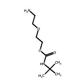 CC(C)(C)NC(=O)OCCOCCN